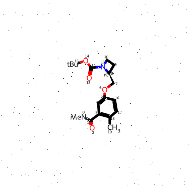 CNC(=O)c1cc(OC[C@@H]2CCN2C(=O)OC(C)(C)C)ccc1C